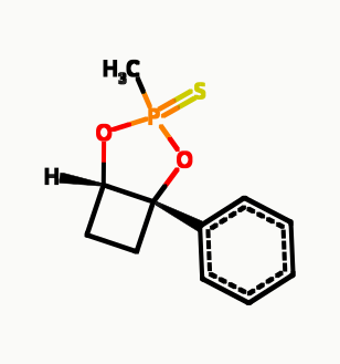 CP1(=S)O[C@H]2CC[C@@]2(c2ccccc2)O1